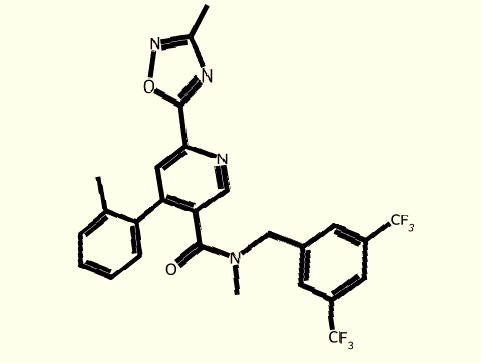 Cc1noc(-c2cc(-c3ccccc3C)c(C(=O)N(C)Cc3cc(C(F)(F)F)cc(C(F)(F)F)c3)cn2)n1